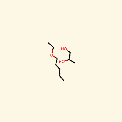 CC(O)CO.CCCCCOCC